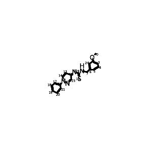 COc1cccc(CNC(=S)N=c2ccn(-c3ccccc3)nc2)c1